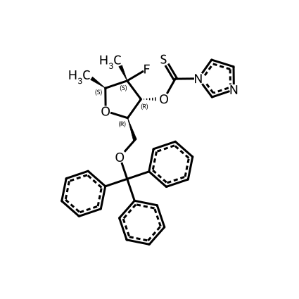 C[C@@H]1O[C@H](COC(c2ccccc2)(c2ccccc2)c2ccccc2)[C@@H](OC(=S)n2ccnc2)[C@@]1(C)F